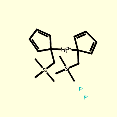 C[Si](C)(C)C[C]1([Hf+2][C]2(C[Si](C)(C)C)C=CC=C2)C=CC=C1.[F-].[F-]